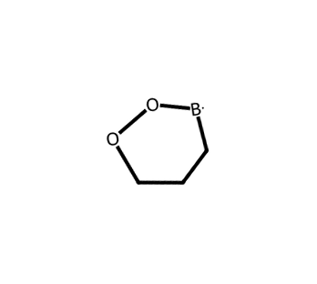 [B]1CCCOO1